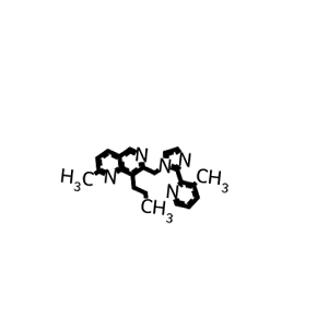 CCCc1c(Cn2ccnc2-c2ncccc2C)ncc2ccc(C)nc12